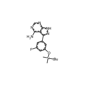 CC(C)(C)[Si](C)(C)Oc1cc(F)cc(-c2n[nH]c3ncnc(N)c23)c1